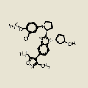 COc1ccc(N2CCC[C@H]2c2nc3cc(-c4c(C)noc4C)ccc3n2[C@@H]2CC[C@@H](O)C2)cc1Cl